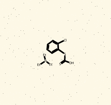 CCN(CC)CC.OC(=S)Sc1ccccc1Cl